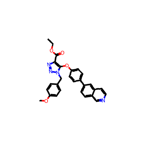 CCOC(=O)c1nnn(Cc2ccc(OC)cc2)c1Oc1ccc(-c2ccc3cnccc3c2)cc1